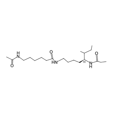 CCC(=O)N[C@@H](CCCCNC(=O)CCCCCNC(C)=O)C(C)CC